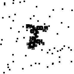 CC(C)CC(=O)C(CCCNC(C)c1ccccc1)C(=O)O